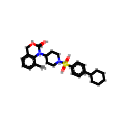 Cc1cccc2c1N(C1CCN(S(=O)(=O)c3ccc(C4CCCCC4)cc3)CC1)C(=O)OC2